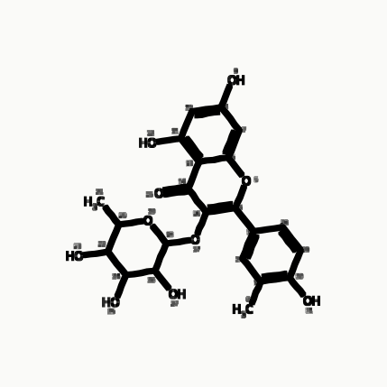 Cc1cc(-c2oc3cc(O)cc(O)c3c(=O)c2OC2OC(C)C(O)C(O)C2O)ccc1O